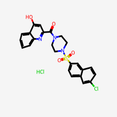 Cl.O=C(c1cc(O)c2ccccc2n1)N1CCN(S(=O)(=O)c2ccc3cc(Cl)ccc3c2)CC1